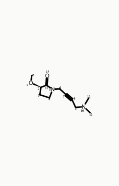 CO[C@@H]1CCN(CC#CCN(C)C)C1=O